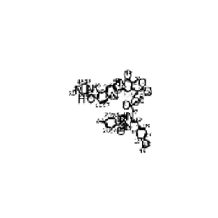 CC[C@@]1(COC(=O)CN/C(Cc2ccc(OC)cc2)=N\S(=O)(=O)c2ccc(C)cc2)C(=O)OCc2c1cc1n(c2=O)Cc2cc3c(CN4CCN(C)CC4)c(O)ccc3nc2-1